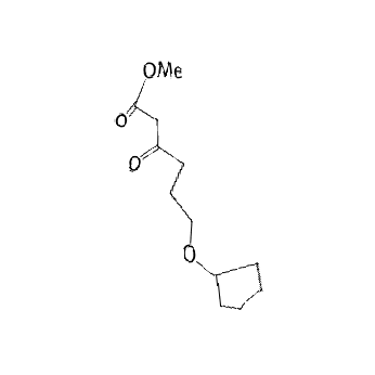 COC(=O)CC(=O)CCCOC1CCCC1